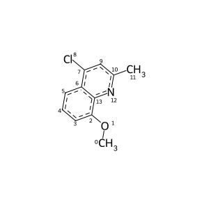 COc1cccc2c(Cl)cc(C)nc12